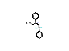 CC(=O)OC/C(=C\C(F)(F)c1ccccc1)c1ccccc1